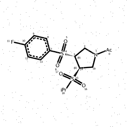 CC(=O)N1C[C@@H](S(=O)(=O)c2ccc(F)cc2)[C@H](S(=O)(=O)C(C)C)C1